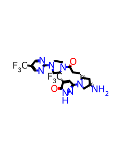 N[C@@H]1C[C@@H](CCC(=O)N2CCN(c3ncc(C(F)(F)F)cn3)CC2)N(c2cc(C(F)(F)F)c(=O)[nH]n2)C1